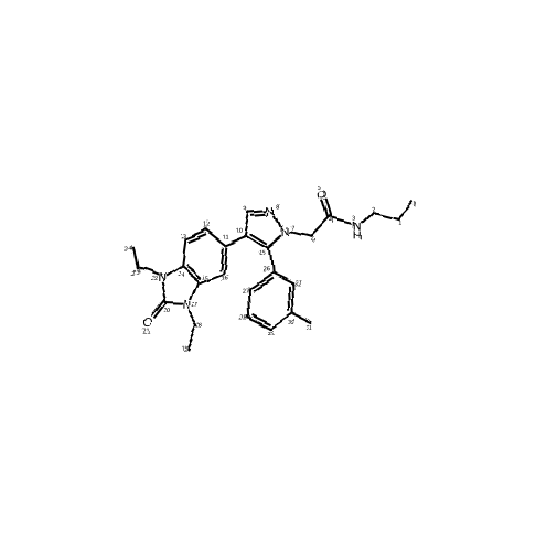 CCCNC(=O)Cn1ncc(-c2ccc3c(c2)n(CC)c(=O)n3CC)c1-c1cccc(C)c1